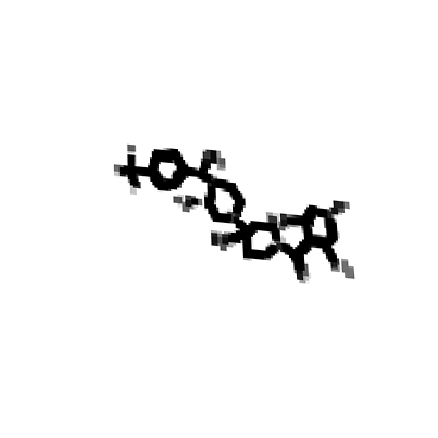 Cc1c[n+]([O-])cc(C)c1C(=O)N1CCC(C)(N2CCN([C@H](C)c3ccc(C(F)(F)F)cc3)[C@@H](C)C2)CC1